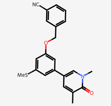 CSc1cc(OCc2cccc(C#N)c2)cc(-c2cc(C)c(=O)n(C)c2)c1